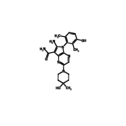 Cc1ccc(O)c(C)c1-n1c(N)c(C(N)=O)c2nc(N3CCC(C)(O)CC3)cnc21